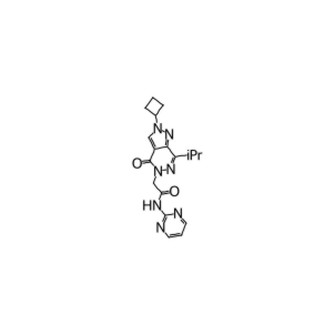 CC(C)c1nn(CC(=O)Nc2ncccn2)c(=O)c2cn(C3CCC3)nc12